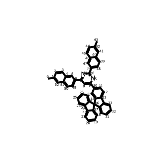 Cc1ccc2cc(-c3cc(-c4ccc5c(c4)C4(c6ccccc6-c6ccccc64)c4ccccc4-5)nc(-c4ccc5cc(C)ccc5c4)n3)ccc2c1